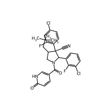 CC(C)(C)CC1CN(C(=O)c2ccc(=O)[nH]c2)C(c2cccc(Cl)c2F)C1(C#N)c1ccc(Cl)cc1F